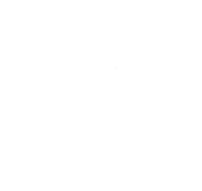 O=C(O)C(CF)Oc1ccc(Br)cc1F